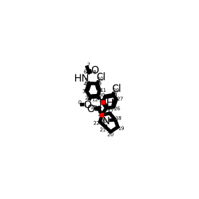 COc1cc(NC(C)=O)c(Cl)cc1NC(=O)C1CC2CCC(C1)N2Cc1ccc(Cl)cc1